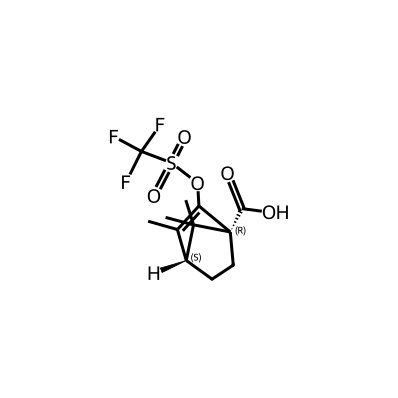 CC1=C(OS(=O)(=O)C(F)(F)F)[C@@]2(C(=O)O)CC[C@H]1C2(C)C